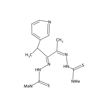 CNC(=S)N/N=C(C)\C(=N\NC(=S)NC)C(C)c1cccnc1